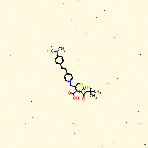 CN(C)c1ccc(/C=C/c2cc[n+](CC3=C(C(=O)O)N4C(=O)C(C(C)(C)C)C4SC3)cc2)cc1